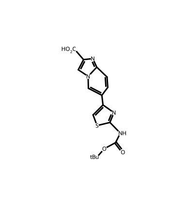 CC(C)(C)OC(=O)Nc1nc(-c2ccc3nc(C(=O)O)cn3c2)cs1